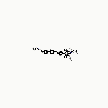 C/C=C/CCc1ccc(-c2ccc(COc3ccc(C4CC(C)(C)N(/C=C/C)C(C)(C)C4)cc3)cc2)cc1